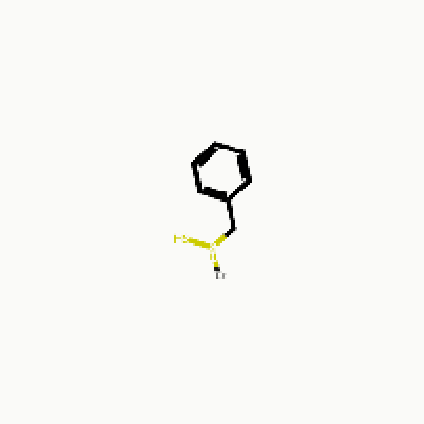 CC[SH](S)Cc1ccccc1